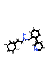 c1cncc(-c2ccccc2CNCCC2CCCCC2)c1